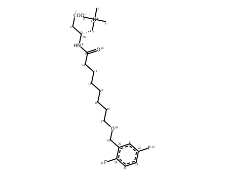 C[N+](C)(C)C[C@@H](CC(=O)[O-])NC(=O)CCCCCCCOCc1cc(F)ccc1F